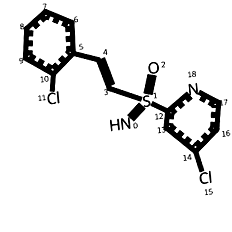 N=S(=O)(/C=C/c1ccccc1Cl)c1cc(Cl)ccn1